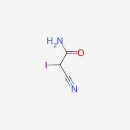 N#CC(I)C(N)=O